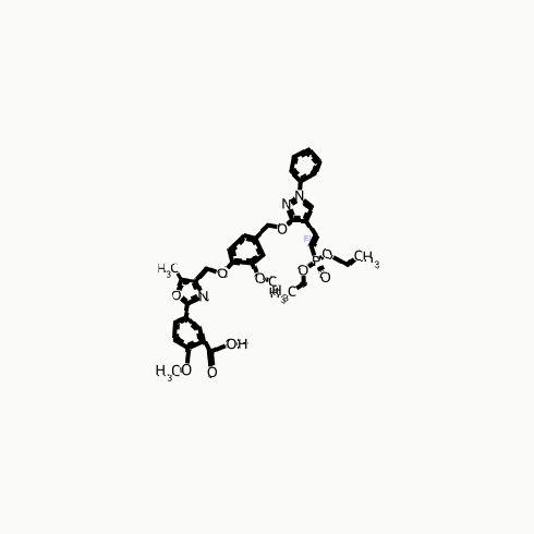 CCOP(=O)(/C=C/c1cn(-c2ccccc2)nc1OCc1ccc(OCc2nc(-c3ccc(OC)c(C(=O)O)c3)oc2C)c(OC)c1)OCC